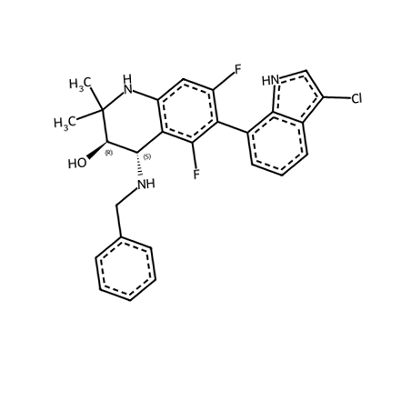 CC1(C)Nc2cc(F)c(-c3cccc4c(Cl)c[nH]c34)c(F)c2[C@H](NCc2ccccc2)[C@H]1O